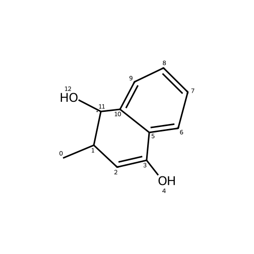 CC1C=C(O)c2ccccc2[C]1O